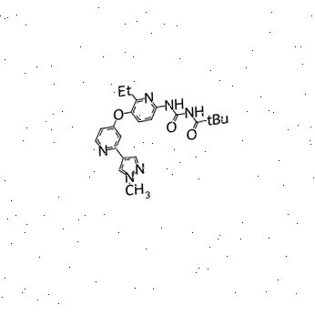 CCc1nc(NC(=O)NC(=O)C(C)(C)C)ccc1Oc1ccnc(-c2cnn(C)c2)c1